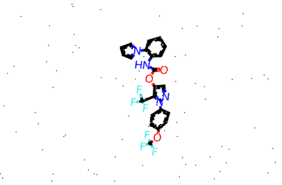 O=C(Nc1ccccc1-n1cccc1)Oc1cnn(-c2ccc(OC(F)(F)F)cc2)c1C(F)(F)F